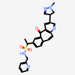 CC(c1ccc2ccc3ncc(C4C=NN(C)C4)cc3c(=O)c2c1)S(=O)(=O)NCc1ccccn1